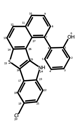 Oc1ccccc1-c1cccc2ccc3sc4c5cc(Cl)ccc5[nH]c4c3c12